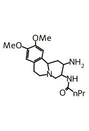 CCCC(=O)NC1CN2CCc3cc(OC)c(OC)cc3C2CC1N